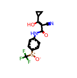 N#CC(C(=O)Nc1ccc([S+]([O-])C(F)(F)F)cc1)=C(O)C1CC1